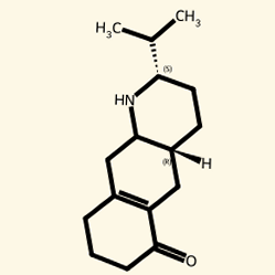 CC(C)[C@@H]1CC[C@@H]2CC3=C(CCCC3=O)CC2N1